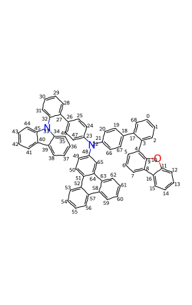 c1ccc(-c2cccc3c2oc2ccccc23)c(-c2ccc(N(c3ccc(-c4ccccc4-n4c5ccccc5c5ccccc54)cc3)c3ccc4c5ccccc5c5ccccc5c4c3)cc2)c1